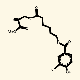 C=C(COC(=O)CCCCCOC(=O)c1ccc(O)c(Cl)c1)C(=O)OC